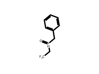 O=[PH](Cc1ccccc1)CC(F)(F)F